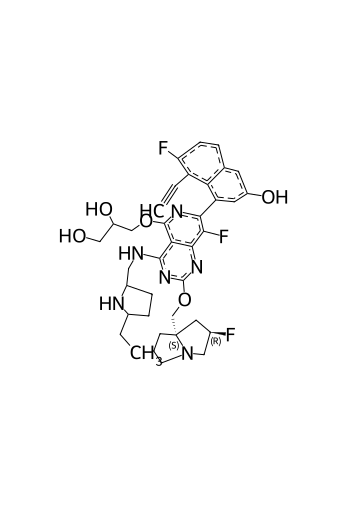 C#Cc1c(F)ccc2cc(O)cc(-c3nc(OCC(O)CO)c4c(NCC5CCC(CC)N5)nc(OC[C@@]56CCCN5C[C@H](F)C6)nc4c3F)c12